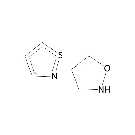 C1CNOC1.c1cnsc1